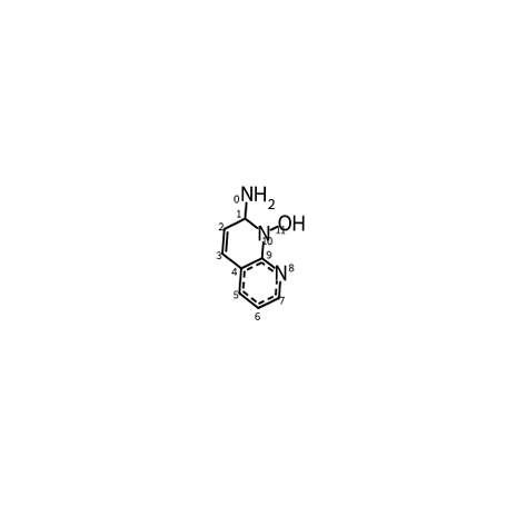 NC1C=Cc2cccnc2N1O